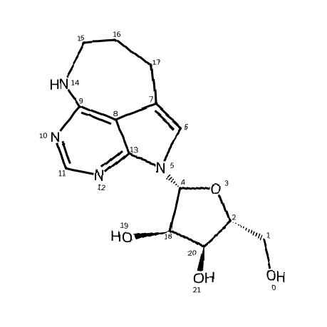 OC[C@H]1O[C@@H](n2cc3c4c(ncnc42)NCCC3)[C@H](O)[C@@H]1O